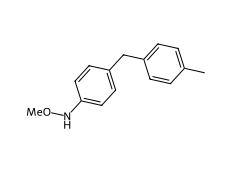 CONc1ccc(Cc2ccc(C)cc2)cc1